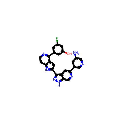 Nc1cncc(-c2cc3c(-c4cc5c(-c6cc(O)cc(F)c6)nccc5[nH]4)n[nH]c3cn2)c1